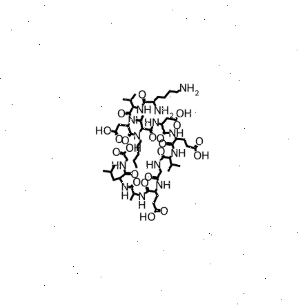 CCCCCN(C(=O)C(CC(=O)O)NC(=O)C(NC(=O)C(N)CCCCN)C(C)C)C(C(=O)NC(CC(=O)O)C(=O)NC(CCC(=O)O)C(=O)NC(C(=O)NCC(=O)NC(CCC(=O)O)C(=O)NC(C)C(=O)NC(CC(C)C)C(=O)NCC(=O)O)C(C)C)C(C)C